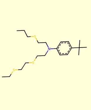 CCCSCCN(CCSCCSCC)c1ccc(C(C)(C)C)cc1